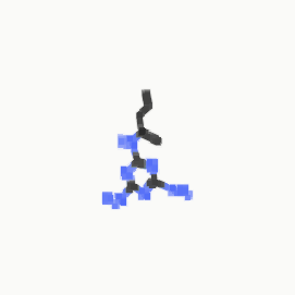 C=CCC(=C)Nc1nc(N)nc(N)n1